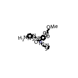 COCCCS(=O)(=O)c1ccc(/C(=N\OCc2nccs2)C(=O)Nc2nc3ccc(N)nc3s2)cc1